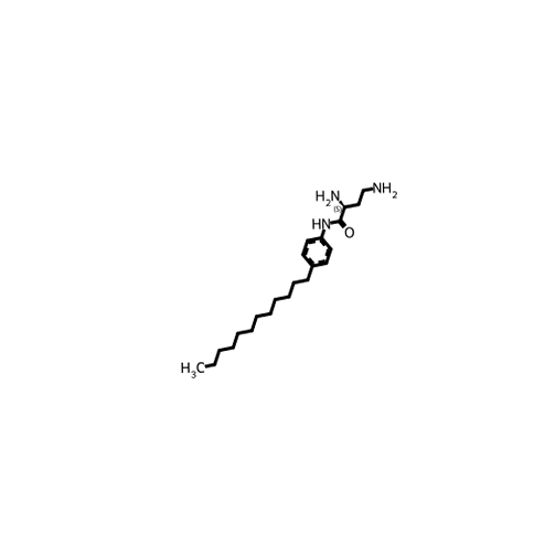 CCCCCCCCCCCCc1ccc(NC(=O)[C@@H](N)CCN)cc1